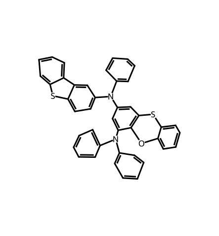 c1ccc(N(c2cc3c(c(N(c4ccccc4)c4ccccc4)c2)Oc2ccccc2S3)c2ccc3sc4ccccc4c3c2)cc1